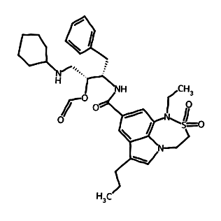 CCCc1cn2c3c(cc(C(=O)N[C@@H](Cc4ccccc4)[C@@H](CNC4CCCCC4)OC=O)cc13)N(CC)S(=O)(=O)CC2